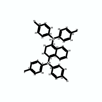 Cc1ccc(N(C2=c3ccccc3=C(N(c3ccc(C)cc3)c3ccc(C)cc3)CC2)c2ccc(C)cc2)cc1